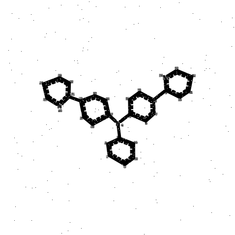 c1ccc(N(c2ccc(-c3ccccn3)cc2)c2ccc(-c3ccccn3)cc2)cc1